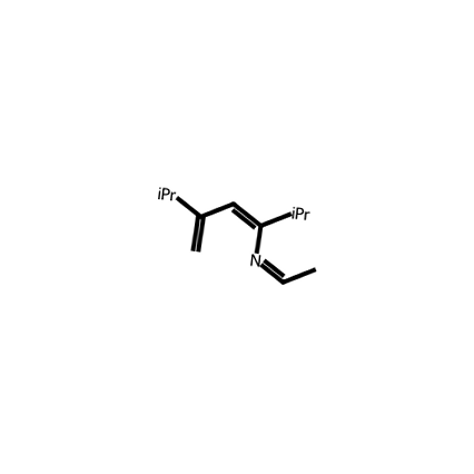 C=C(/C=C(\N=C/C)C(C)C)C(C)C